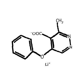 Cc1nncc(Oc2ccccc2)c1C(=O)[O-].[Li+]